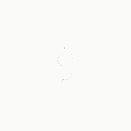 CC1=CC=c2oc(=O)ccc2=CC1